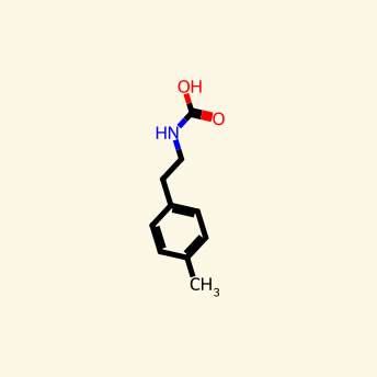 Cc1ccc(CCNC(=O)O)cc1